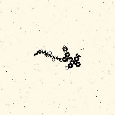 CCCCC(C)(C)OCC(C)C(C)(C)OC(=O)CCC(=O)OCCOc1ccc(C2(c3ccc(N4CCOCC4)cc3)C=Cc3c4c(c5ccc(OC)cc5c3O2)-c2ccccc2C42CCC(CC)(CC)CC2)cc1